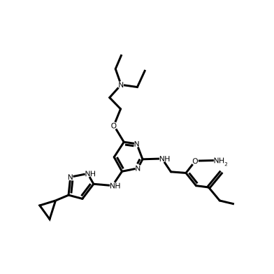 C=C(/C=C(/CNc1nc(Nc2cc(C3CC3)n[nH]2)cc(OCCN(CC)CC)n1)ON)CC